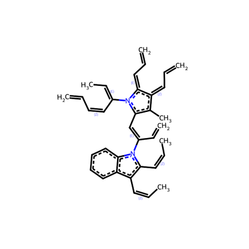 C=C/C=C\C(=C/C)n1c(/C=C(\C=C)n2c(/C=C\C)c(/C=C\C)c3ccccc32)c(C)c(=C/C=C)/c1=C\C=C